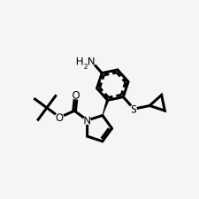 CC(C)(C)OC(=O)N1CC=C[C@@H]1c1cc(N)ccc1SC1CC1